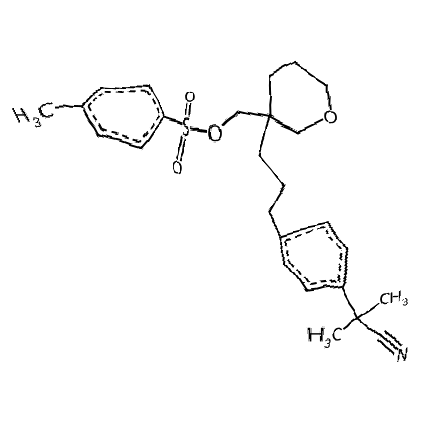 Cc1ccc(S(=O)(=O)OCC2(CCCc3ccc(C(C)(C)C#N)cc3)CCCOC2)cc1